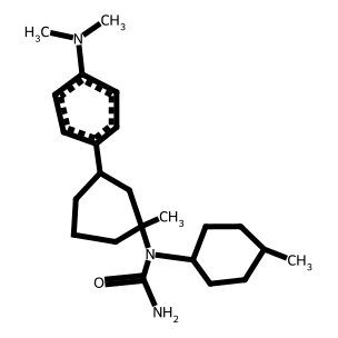 CC1CCC(N(C(N)=O)C2(C)CCCC(c3ccc(N(C)C)cc3)C2)CC1